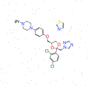 CC(C)N1CCN(c2ccc(OC[C@H]3CO[C@](Cn4cncn4)(c4ccc(Cl)cc4Cl)O3)cc2)CC1.c1cscn1